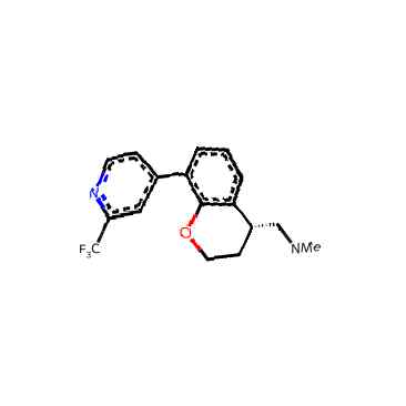 CNC[C@@H]1CCOc2c(-c3ccnc(C(F)(F)F)c3)cccc21